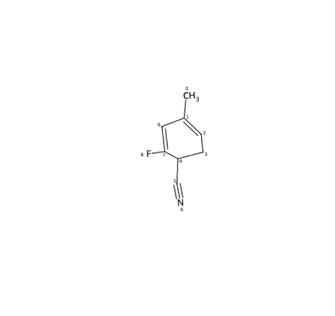 CC1=CCC(C#N)C(F)=C1